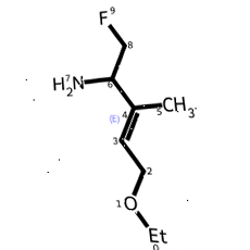 CCOC/C=C(\C)C(N)CF